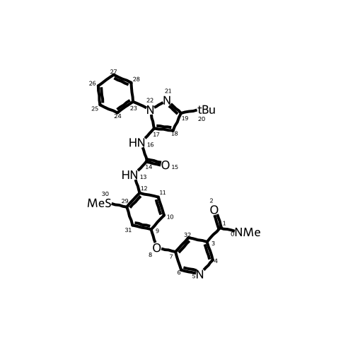 CNC(=O)c1cncc(Oc2ccc(NC(=O)Nc3cc(C(C)(C)C)nn3-c3ccccc3)c(SC)c2)c1